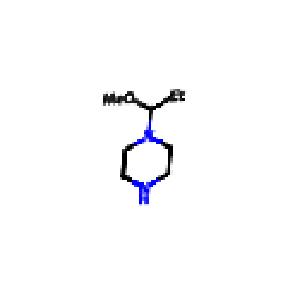 CC[C](OC)N1CCNCC1